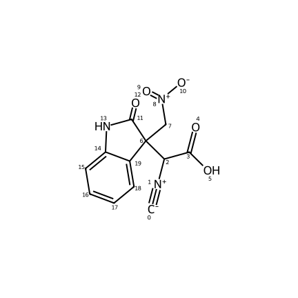 [C-]#[N+]C(C(=O)O)C1(C[N+](=O)[O-])C(=O)Nc2ccccc21